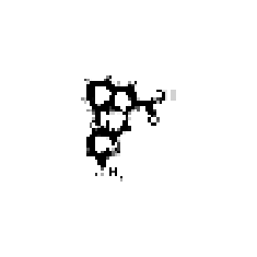 Cc1cccc(Cn2c(C(=O)O)cc3cccc(C)c32)n1